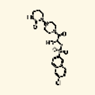 O=C([C@H](O)CS(=O)(=O)c1ccc2cc(Cl)ccc2c1)N1CCN(N2CCCNC2=O)CC1